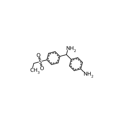 CCS(=O)(=O)c1ccc(C(N)c2ccc(N)cc2)cc1